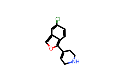 Clc1ccc2c(C3=CCNCC3)occ2c1